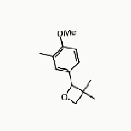 COc1ccc(C2OCC2(C)C)cc1C